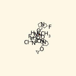 CC(C)(C)OC(=O)N1C2CCC1(COC1CC1)CN(c1nc(OC[C@@]34CCCN3C[C@H](F)C4)nc3c(F)c(Cl)ncc13)C2